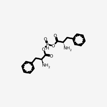 N[C@@H](Cc1ccccc1)C(=O)O[PH](=O)OC(=O)[C@@H](N)Cc1ccccc1